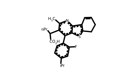 CCCC(C(=O)O)c1c(C)nc2c3c(sc2c1-c1ccc(C(C)C)cc1F)CCC=C3